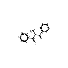 O=C(c1ccccc1)[CH]([AlH2])C(=O)c1ccccc1